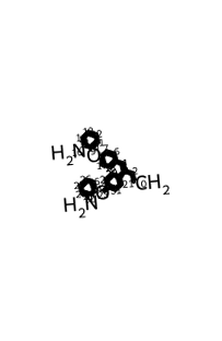 C=CCC(=Cc1ccc(Oc2ccccc2N)cc1)c1ccc(Oc2ccccc2N)cc1